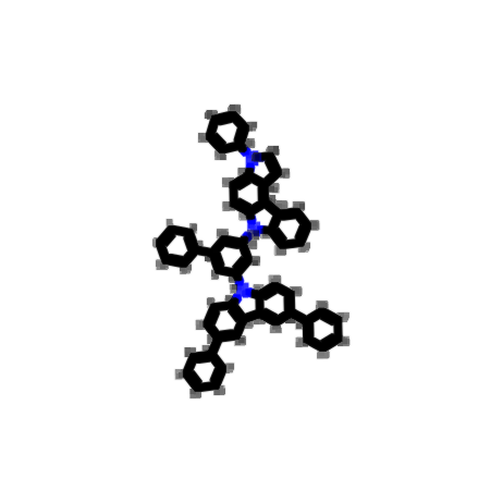 c1ccc(-c2cc(-n3c4ccc(-c5ccccc5)cc4c4cc(-c5ccccc5)ccc43)cc(-n3c4ccccc4c4c5ccn(-c6ccccc6)c5ccc43)c2)cc1